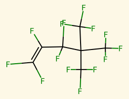 FC(F)=C(F)C(F)(F)C(C(F)(F)F)(C(F)(F)F)C(F)(F)F